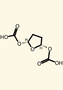 O=C(O)O[C@H]1CC[C@@H](OC(=O)O)O1